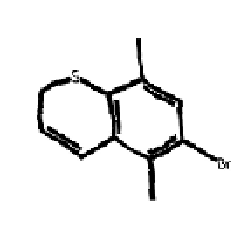 Cc1cc(Br)c(C)c2c1SCC=C2